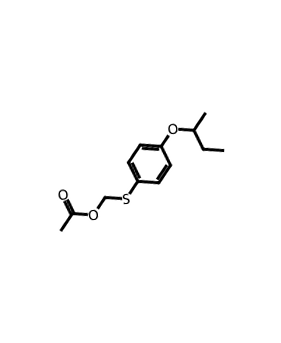 CCC(C)Oc1ccc(SCOC(C)=O)cc1